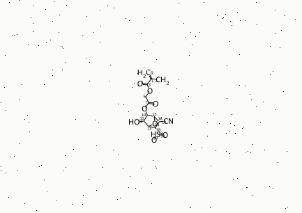 C=C(C)C(=O)OCC(=O)OC1C(O)C2OC1C(C#N)C2[SH](=O)=O